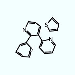 c1ccc(-c2cccnc2-c2ccccn2)nc1.c1ccsc1